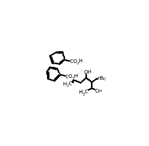 C=CCC(O)C(CCCC)C(C)O.O=C(O)c1ccccc1.O=C(O)c1ccccc1